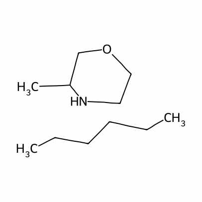 CC1COCCN1.CCCCCC